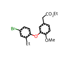 CCOC(=O)Cc1ccc(OC)c(Oc2ccc(Br)cc2CC)c1